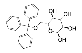 O[C@@H]1[C@@H](O)[C@@H](O)O[C@H](COC(c2ccccc2)(c2ccccc2)c2ccccc2)[C@H]1O